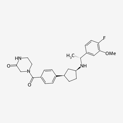 COc1cc([C@@H](C)N[C@H]2CC[C@@H](c3ccc(C(=O)N4CCNC(=O)C4)cc3)C2)ccc1F